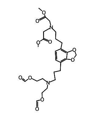 COC(=O)CN(CCCc1ccc(CCCN(CCOC=O)CCOC=O)c2c1OCO2)CC(=O)OC